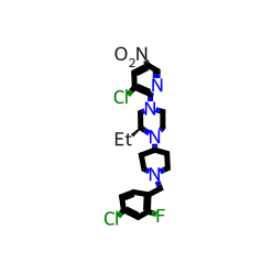 CC[C@H]1CN(c2ncc([N+](=O)[O-])cc2Cl)CCN1C1CCN(Cc2ccc(Cl)cc2F)CC1